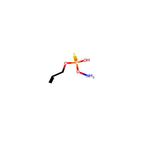 C=CCOP(O)(=S)ON